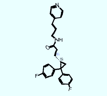 O=C(/C=C/[C@@H]1CC1(c1ccc(F)cc1)c1ccc(F)cc1)NCCCc1ccncc1